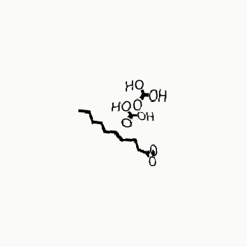 CCCCCCCCCC1OO1.O=C(O)O.O=C(O)O